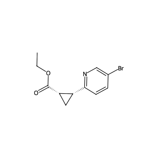 CCOC(=O)[C@H]1C[C@H]1c1ccc(Br)cn1